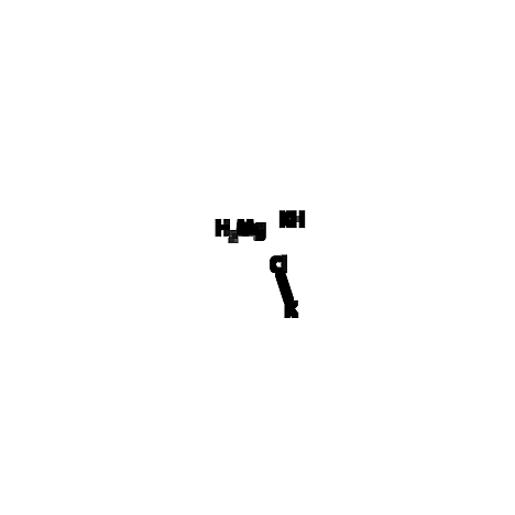 [Cl][K].[KH].[MgH2]